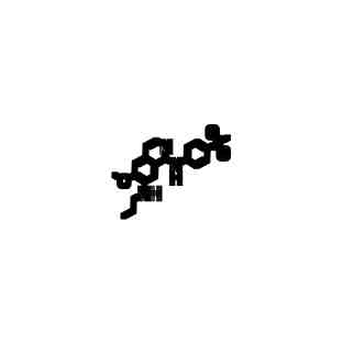 CCCNc1cc2c(Nc3ccc(S(C)(=O)=O)cc3)nccc2cc1OC